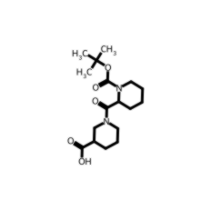 CC(C)(C)OC(=O)N1CCCCC1C(=O)N1CCCC(C(=O)O)C1